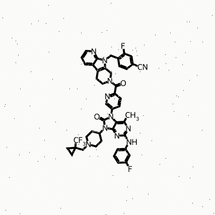 Cc1nc(Nc2cccc(F)c2)nc2c1n(-c1ccc(C(=O)N3CCc4c(n(Cc5ccc(C#N)cc5F)c5ncccc45)C3)nc1)c(=O)n2C1CCN(CC2(C(F)(F)F)CC2)CC1